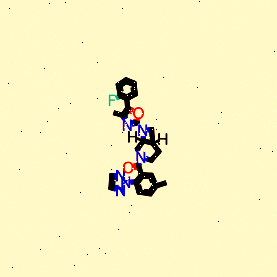 Cc1ccc(-n2nccn2)c(C(=O)N2CC[C@H]3CN(c4nc(C)c(-c5ccccc5F)o4)[C@H]3C2)c1